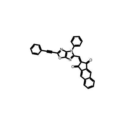 O=C1C(=Cc2nc3oc(C#Cc4ccccc4)nc3n2-c2ccccc2)C(=O)c2cc3ccccc3cc21